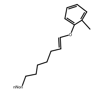 CCCCCCCCCCCCCC/C=C/Oc1ccccc1C